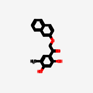 Cc1cc(C(=O)COc2ccc3ccccc3c2)c(O)cc1O